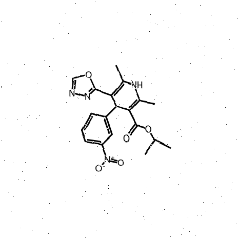 CC1=C(C(=O)OC(C)C)C(c2cccc([N+](=O)[O-])c2)C(c2nnco2)=C(C)N1